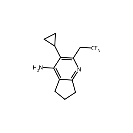 Nc1c2c(nc(CC(F)(F)F)c1C1CC1)CCC2